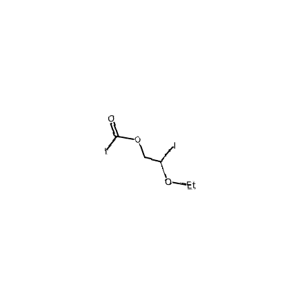 CCOC(I)COC(=O)I